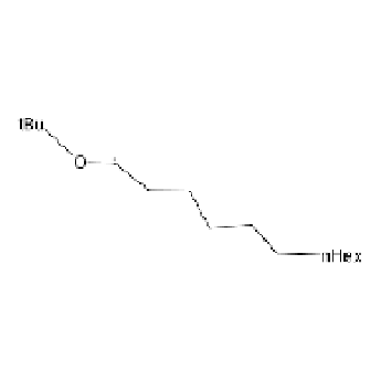 CCCCCCCCCCC[CH]OC(C)(C)C